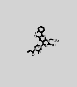 C=CC(=O)N1C[C@H](C)N(c2nc(=N)n(CC(C)(C)C)c3nc(-c4ccccc4F)c(Cl)cc23)C[C@H]1C